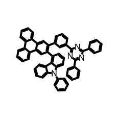 c1ccc(-c2nc(-c3ccccc3)nc(-c3cccc(-c4cc5c6ccccc6c6ccccc6c5cc4-c4cccc5c4c4ccccc4n5-c4ccccc4)c3)n2)cc1